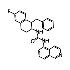 O=C(Nc1cccc2cnccc12)NC1CCc2cc(F)ccc2C1Cc1ccccc1